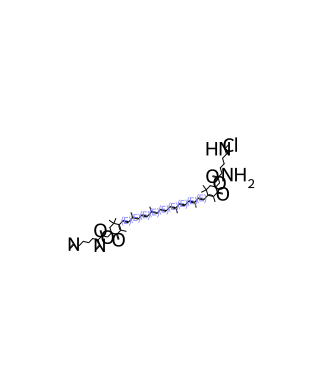 C=NCCCCC(N=C)C(=O)OC1CC(C)(C)C(/C=C/C(C)=C/C=C/C(C)=C/C=C/C=C(C)/C=C/C=C(C)/C=C/C2=C(C)C(=O)C(OC(=O)C(N)CCCCNCl)CC2(C)C)=C(C)C1=O